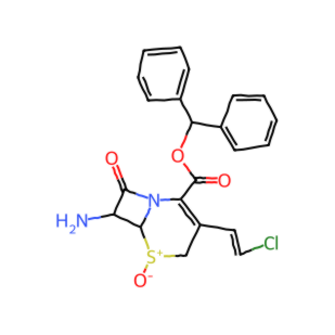 NC1C(=O)N2C(C(=O)OC(c3ccccc3)c3ccccc3)=C(/C=C/Cl)C[S+]([O-])C12